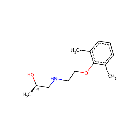 Cc1cccc(C)c1OCCNC[C@@H](C)O